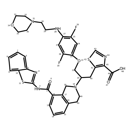 O=C(Nc1nc2ccccc2s1)c1cccc2c1CN(C(COc1cc(F)c(NCCN3CCOCC3)cc1F)Cc1scnc1C(=O)O)CC2